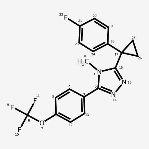 Cn1c(-c2ccc(OC(F)(F)F)cc2)nnc1C1(c2ccc(F)cc2)CC1